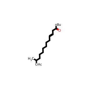 CCCCC(=O)CC=CCCCCCCCC(C)OC(C)=O